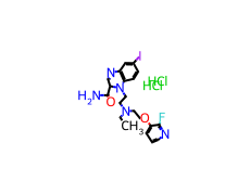 CCN(CCOc1cccnc1F)CCN1c2ccc(I)cc2N=CC1C(N)=O.Cl.Cl